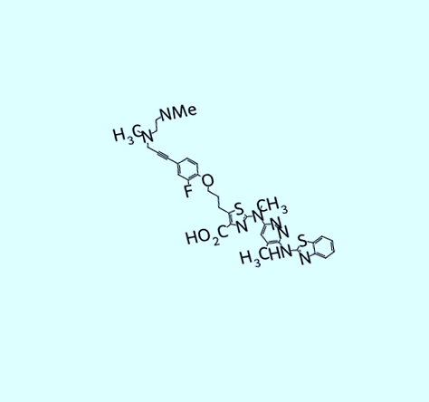 CNCCN(C)CC#Cc1ccc(OCCCc2sc(N(C)c3cc(C)c(Nc4nc5ccccc5s4)nn3)nc2C(=O)O)c(F)c1